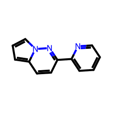 c1ccc(-c2ccc3cccn3n2)nc1